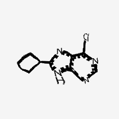 Clc1ncnc2[nH]c(C3CCC3)nc12